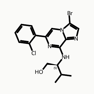 CC(C)[C@@H](CO)Nc1nc(-c2ccccc2Cl)cn2c(Br)cnc12